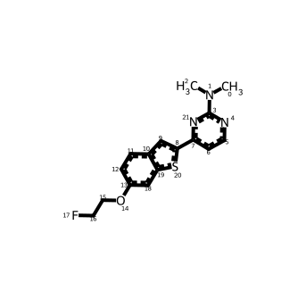 CN(C)c1nccc(-c2cc3ccc(OCCF)cc3s2)n1